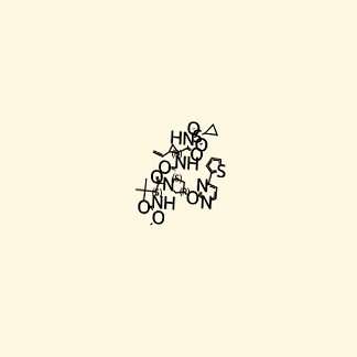 C=CC1C[C@]1(NC(=O)[C@@H]1C[C@@H](Oc2nccc(-c3cccs3)n2)CN1C(=O)[C@@H](NC(=O)OC)C(C)(C)C)C(=O)NS(=O)(=O)C1CC1